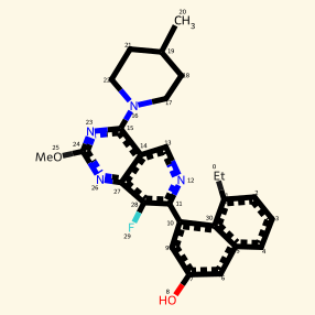 CCc1cccc2cc(O)cc(-c3ncc4c(N5CCC(C)CC5)nc(OC)nc4c3F)c12